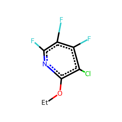 CCOc1nc(F)c(F)c(F)c1Cl